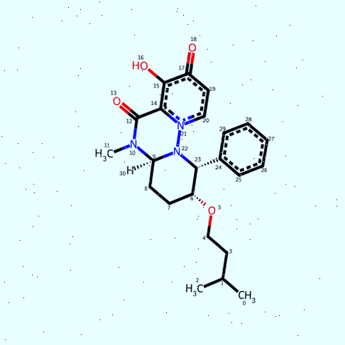 CC(C)CCO[C@@H]1CC[C@H]2N(C)C(=O)c3c(O)c(=O)ccn3N2[C@@H]1c1ccccc1